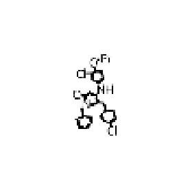 CC(C)Oc1ccc(Nc2cc(=O)n(Cc3ccccc3)cc2CC2C=CC(Cl)=CC2)cc1Cl